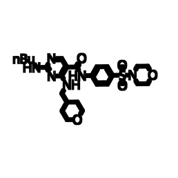 CCCCNc1ncc(C(=O)Nc2ccc(S(=O)(=O)N3CCOCC3)cc2)c(NCC2CCOCC2)n1